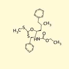 CCOC(=O)N[C@@H](Cc1ccccc1)[C@H](C[C@@H](C)Cc1ccccc1)OC(=S)SC